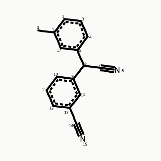 Cc1cccc(C(C#N)c2cccc(C#N)c2)c1